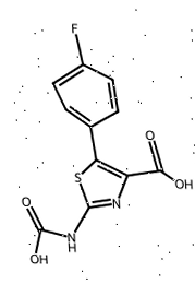 O=C(O)Nc1nc(C(=O)O)c(-c2ccc(F)cc2)s1